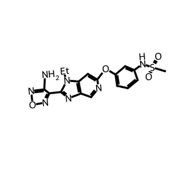 CCn1c(-c2nonc2N)nc2cnc(Oc3cccc(NS(C)(=O)=O)c3)cc21